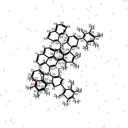 [2H]c1c([2H])c([2H])c(-c2cc(F)c(N(c3cccc4ccccc34)c3cc4ccc(N(c5c(F)cc(-c6c([2H])c([2H])c([2H])c([2H])c6[2H])cc5-c5c([2H])c([2H])c([2H])c([2H])c5[2H])c5cccc6ccccc56)c5ccc6cccc3c6c45)c(-c3c([2H])c([2H])c([2H])c([2H])c3[2H])c2)c([2H])c1[2H]